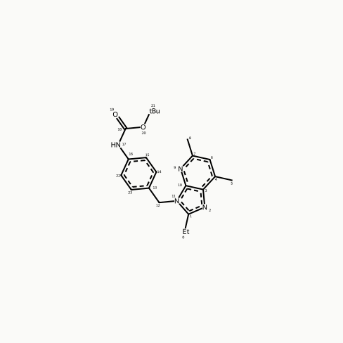 CCc1nc2c(C)cc(C)nc2n1Cc1ccc(NC(=O)OC(C)(C)C)cc1